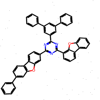 c1ccc(-c2cc(-c3ccccc3)cc(-c3nc(-c4ccc5c(c4)oc4cc(-c6ccccc6)ccc45)nc(-c4cccc5c4oc4ccccc45)n3)c2)cc1